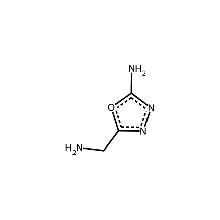 NCc1nnc(N)o1